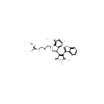 NC(=N[N+](=O)[O-])NCCCn1cc(C2=C(c3c[nH]c4ccccc34)C(=O)NC2=O)c2cccc(C(F)(F)F)c21